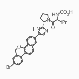 CC(C)C(NC(=O)O)C(=O)N1CCC[C@H]1c1ncc(-c2ccc3c4c(ccc3c2)-c2ccc(Br)cc2CO4)[nH]1